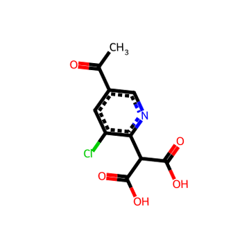 CC(=O)c1cnc(C(C(=O)O)C(=O)O)c(Cl)c1